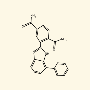 NC(=O)c1ccc(C(N)=O)c(-c2nc3cccc(-c4ccccc4)c3[nH]2)c1